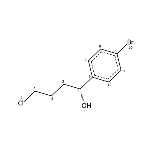 O[C@H](CCCCl)c1ccc(Br)cc1